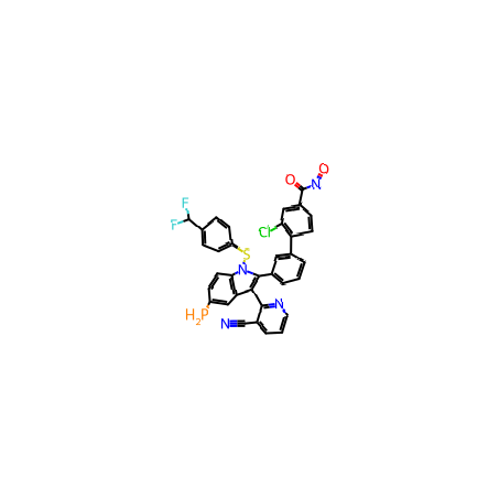 N#Cc1cccnc1-c1c(-c2cccc(-c3ccc(C(=O)N=O)cc3Cl)c2)n(Sc2ccc(C(F)F)cc2)c2ccc(P)cc12